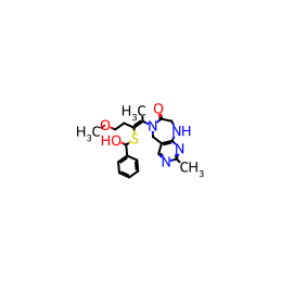 COCC/C(SC(O)c1ccccc1)=C(\C)N1Cc2cnc(C)nc2NCC1=O